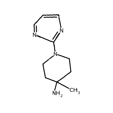 CC1(N)CCN(c2ncccn2)CC1